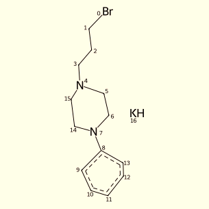 BrCCCN1CCN(c2ccccc2)CC1.[KH]